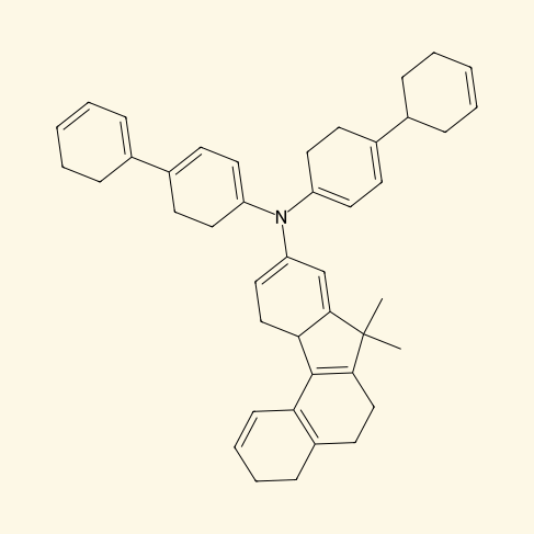 CC1(C)C2=CC(N(C3=CC=C(C4=CC=CCC4)CC3)C3=CC=C(C4CC=CCC4)CC3)=CCC2C2=C1CCC1=C2C=CCC1